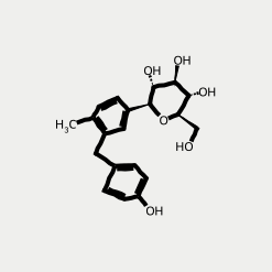 Cc1ccc([C@@H]2O[C@H](CO)[C@@H](O)[C@H](O)[C@H]2O)cc1Cc1ccc(O)cc1